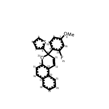 COc1ccc(C2(c3cccs3)C=Cc3c(ccc4ccccc34)O2)c(F)c1